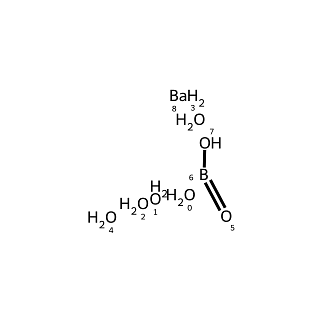 O.O.O.O.O.O=BO.[BaH2]